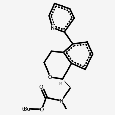 CN(C[C@@H]1OCCc2c(-c3ccccn3)cccc21)C(=O)OC(C)(C)C